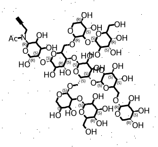 C#CCN(C(C)=O)[C@@H]1O[C@@H](O)[C@@H](O[C@@H]2OC(CO[C@H]3OC[C@@H](O)[C@H](O)C3O[C@@H]3OC(CO)[C@H](O)[C@H](O)C3O)[C@@H](O[C@@H]3O[C@@H](CO[C@@H]4OC[C@H](O)C(O)C4O[C@@H]4OC(CO)[C@H](O)[C@H](O)C4O)[C@@H](O[C@@H]4OC(CO[C@H]5OC[C@@H](O)[C@H](O)C5O)[C@@H](O)[C@H](O)C4O)C(O)C3O)[C@H](O)C2O)C(O)C1O